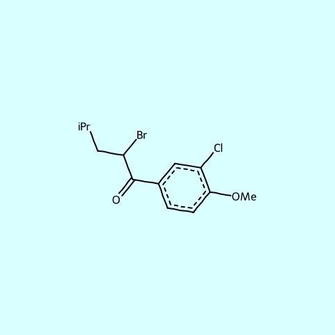 COc1ccc(C(=O)C(Br)CC(C)C)cc1Cl